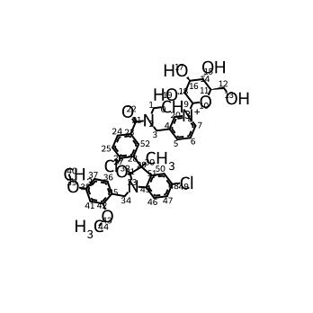 CCN(Cc1ccc[n+](C2O[C@H](CO)[C@@H](O)[C@H](O)[C@H]2O)c1)C(=O)c1ccc(Cl)c(C2(C)C(=O)N(Cc3ccc(OC)cc3OC)c3ccc(Cl)cc32)c1